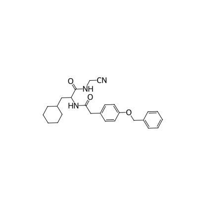 N#CCNC(=O)C(CC1CCCCC1)NC(=O)Cc1ccc(OCc2ccccc2)cc1